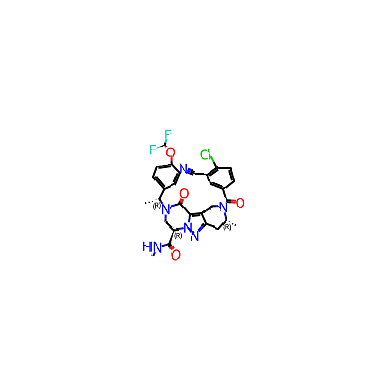 CNC(=O)[C@H]1CN([C@H](C)c2ccc(OC(F)F)cc2)C(=O)c2c3c(nn21)C[C@@H](C)N(C(=O)c1ccc(Cl)c(C#N)c1)C3